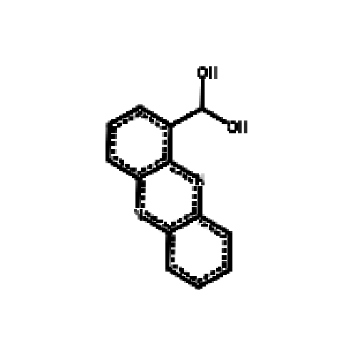 OC(O)c1cccc2nc3ccccc3nc12